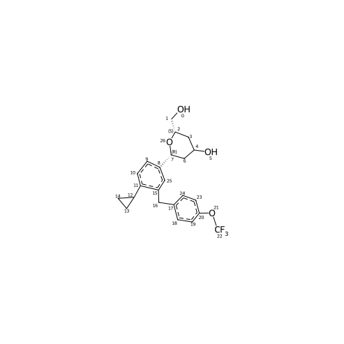 OC[C@@H]1CC(O)C[C@H](c2ccc(C3CC3)c(Cc3ccc(OC(F)(F)F)cc3)c2)O1